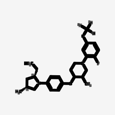 [2H]C([2H])([2H])Oc1ccc(F)c(N2CCC(Oc3ccc(N4C[C@H](C)C[C@@H]4CC(=O)O)cc3)C(C)C2)c1